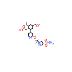 COCc1cc(-c2ccnc(OCC(C)(C)n3cc(S(N)(=O)=O)cn3)c2)c(CC(=O)O)c(C(C)C)c1